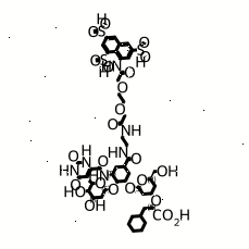 CC1O[C@@H](OC2C(O[C@H]3CC(O[C@@H](CC4CCCCC4)C(=O)O)C[C@H](CO)O3)CC(C(=O)NCCNC(=O)COCCOCC(=O)Nc3cc([SH](=O)=O)cc4cc([SH](=O)=O)cc([SH](=O)=O)c34)C[C@H]2NC(=O)c2cc(=O)[nH]c(=O)[nH]2)C[C@@H](O)C1O